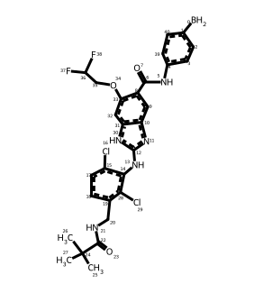 Bc1ccc(NC(=O)c2cc3nc(Nc4c(Cl)ccc(CNC(=O)C(C)(C)C)c4Cl)[nH]c3cc2OCC(F)F)cc1